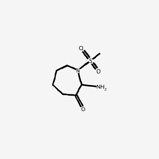 CS(=O)(=O)N1CCCCC(=O)C1N